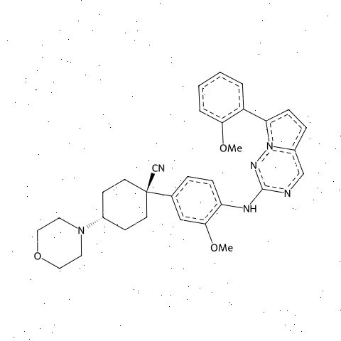 COc1cc([C@]2(C#N)CC[C@H](N3CCOCC3)CC2)ccc1Nc1ncc2ccc(-c3ccccc3OC)n2n1